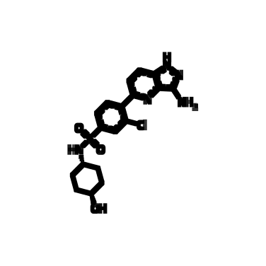 Nc1n[nH]c2ccc(-c3ccc(S(=O)(=O)N[C@H]4CC[C@H](O)CC4)cc3Cl)nc12